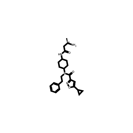 C[C@@H](N)CC(=O)NC1CCC(N(CCc2ccccc2)C(=O)c2cc(C3CC3)on2)CC1